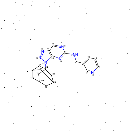 c1cncc(CNc2ncc3nnn(C45CC6CC(CC(C6)C4)C5)c3n2)c1